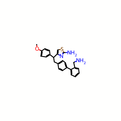 COc1ccc(C(Cc2ccc(-c3ccccc3CN)cc2)c2csc(N)n2)cc1